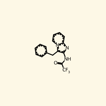 O=C(Nc1nc2ccccn2c1Cc1ccccc1)C(F)(F)F